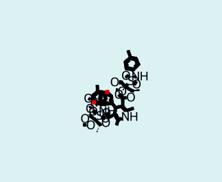 CO[C@@](C=O)([C@@H](C)OC(=O)C1=C(C)NC(C)=C(C(=O)O[C@H](C)[C@](C=O)(OC)S(=O)(=O)Nc2ccc(C)cc2)C1c1cccc([N+](=O)[O-])c1)S(=O)(=O)Nc1ccc(C)cc1